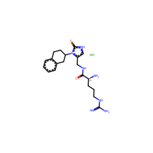 Cl.N=C(N)NCCC[C@H](N)C(=O)NCc1c[nH]c(=S)n1C1CCc2ccccc2C1